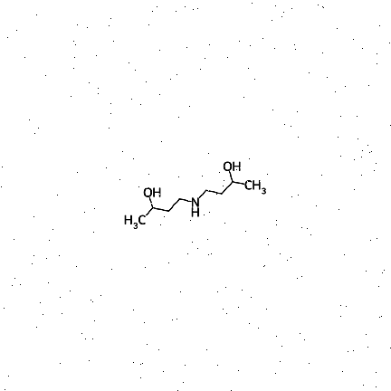 CC(O)CCNCCC(C)O